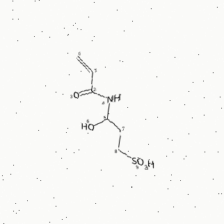 C=CC(=O)NC(O)CCS(=O)(=O)O